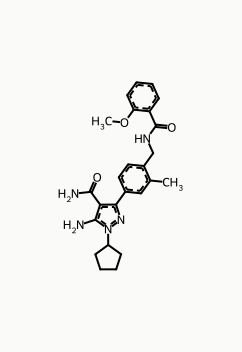 COc1ccccc1C(=O)NCc1ccc(-c2nn(C3CCCC3)c(N)c2C(N)=O)cc1C